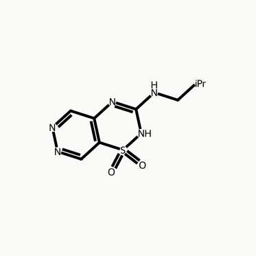 CC(C)CNC1=Nc2cnncc2S(=O)(=O)N1